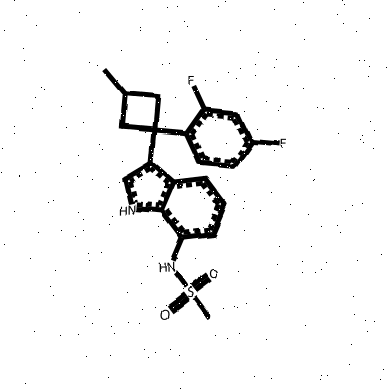 CC1CC(c2ccc(F)cc2F)(c2c[nH]c3c(NS(C)(=O)=O)cccc23)C1